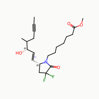 CC#CCC(C)[C@@H](O)/C=C/[C@H]1CC(F)(F)C(=O)N1CCCCCCC(=O)OC